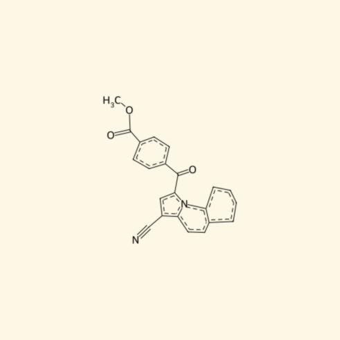 COC(=O)c1ccc(C(=O)c2cc(C#N)c3ccc4ccccc4n23)cc1